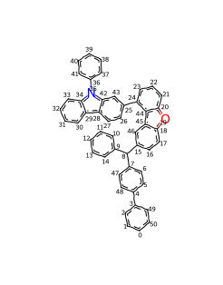 c1ccc(-c2ccc(C(c3ccccc3)c3ccc4oc5cccc(-c6ccc7c8ccccc8n(-c8ccccc8)c7c6)c5c4c3)cc2)cc1